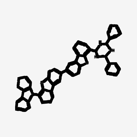 C1=Cc2c(c3ccccc3n2-c2cccc3c2oc2ccc(-c4ccc5oc6c(C7NC(c8ccccc8)NC(c8ccccc8)N7)cccc6c5c4)cc23)CC1